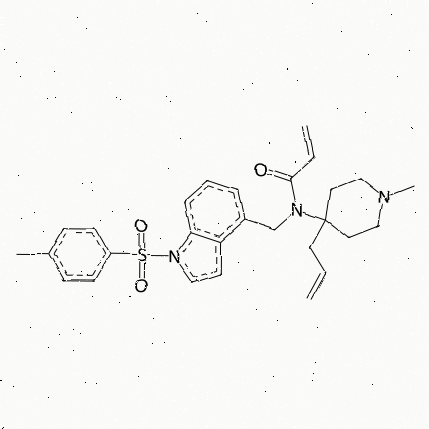 C=CCC1(N(Cc2cccc3c2ccn3S(=O)(=O)c2ccc(C)cc2)C(=O)C=C)CCN(C)CC1